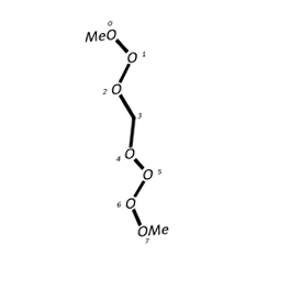 COOOCOOOOC